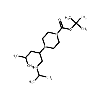 CC(C)CC(CNC(C)C)N1CCN(C(=O)OC(C)(C)C)CC1